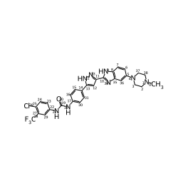 CN1CCN(c2ccc3[nH]c(-c4cc(-c5ccc(NC(=O)Nc6ccc(Cl)c(C(F)(F)F)c6)cc5)[nH]n4)nc3c2)CC1